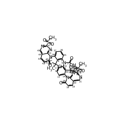 CC(C)(C)c1c(N(C(=O)O)c2cccc(-n3c(=O)ccc4cnc(S(C)(=O)=O)nc43)c2C(C)(C)C)cccc1-n1c(=O)ccc2cnc(S(C)(=O)=O)nc21